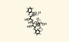 CC(C)(CO)C(=O)N[C@@H](Cc1ccccc1)C(O)CNC[C@@H](O)[C@H](Cc1ccccc1)NC(=O)O